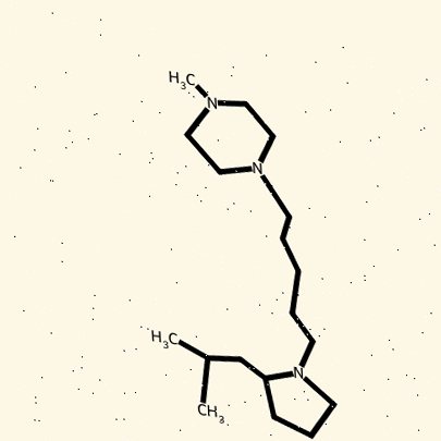 CC(C)CC1CCCN1CCCCCN1CCN(C)CC1